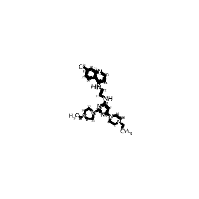 CCN1CCN(c2cc(NCCNc3ccnc4cc(Cl)ccc34)nc(N3CCN(CC)CC3)n2)CC1